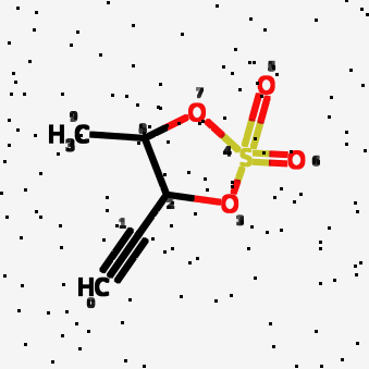 C#CC1OS(=O)(=O)OC1C